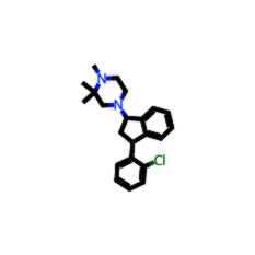 CN1CCN(C2CC(c3ccccc3Cl)c3ccccc32)CC1(C)C